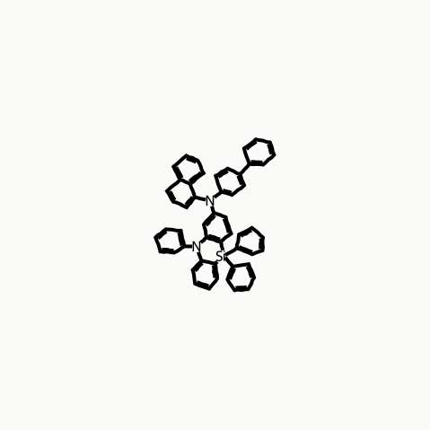 c1ccc(-c2ccc(N(c3ccc4c(c3)N(c3ccccc3)c3ccccc3[Si]4(c3ccccc3)c3ccccc3)c3cccc4ccccc34)cc2)cc1